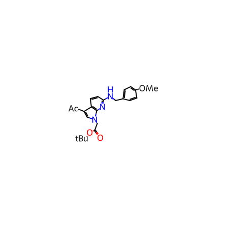 COc1ccc(CNc2ccc3c(C(C)=O)cn(CC(=O)OC(C)(C)C)c3n2)cc1